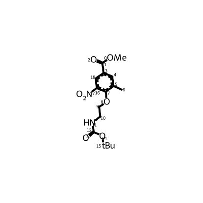 COC(=O)c1cc(C)c(OCCNC(=O)OC(C)(C)C)c([N+](=O)[O-])c1